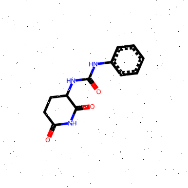 O=C1CCC(NC(=O)Nc2ccccc2)C(=O)N1